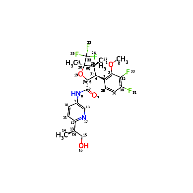 COc1c([C@H]2[C@H](C(=O)Nc3ccc([C@H](C)CO)nc3)O[C@@](C)(C(F)(F)F)[C@H]2C)ccc(F)c1F